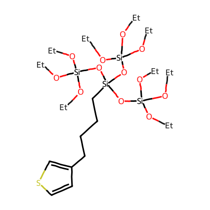 CCO[Si](OCC)(OCC)O[Si](CCCCc1ccsc1)(O[Si](OCC)(OCC)OCC)O[Si](OCC)(OCC)OCC